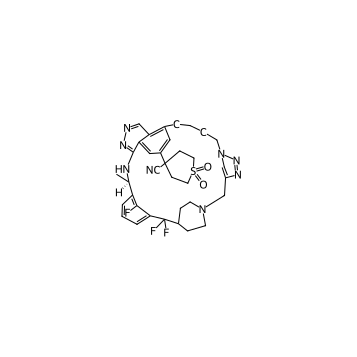 C[C@H]1Nc2nncc3c(cc(C4(C#N)CCS(=O)(=O)CC4)cc23)CCCCn2cc(nn2)CN2CCC(CC2)C(F)(F)c2cccc1c2F